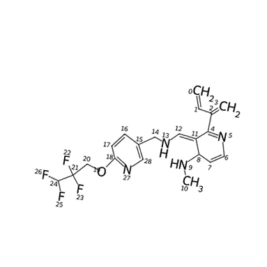 C=CC(=C)C1=NC=CC(NC)/C1=C\NCc1ccc(OCC(F)(F)C(F)F)nc1